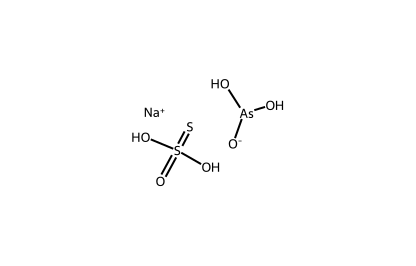 O=S(O)(O)=S.[Na+].[O-][As](O)O